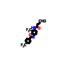 O=CCCC(=O)Nc1ccc2nc(-c3ccc(C(F)(F)F)cc3)oc2c1C(F)(F)F